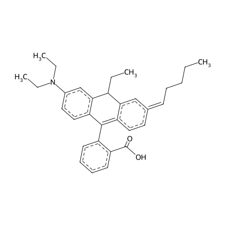 CCCC/C=c1/ccc2c(c1)C(CC)c1cc(N(CC)CC)ccc1C=2c1ccccc1C(=O)O